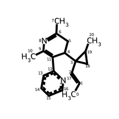 CC=CC1(C2CC(C)=NC(C)=C2c2ccccn2)CC1C